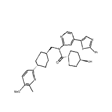 COc1ccc([C@H]2CC[C@H](CN(c3cc(-c4cnc(C(C)C)s4)ccn3)C(=O)[C@H]3CC[C@H](O)CC3)CC2)nc1C